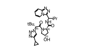 CC(C)C(NC(=O)[C@H]1C[C@H](O)CN1C(=O)[C@H](n1cc(C2CC2)nn1)C(C)(C)C)c1nnc2ccccn12